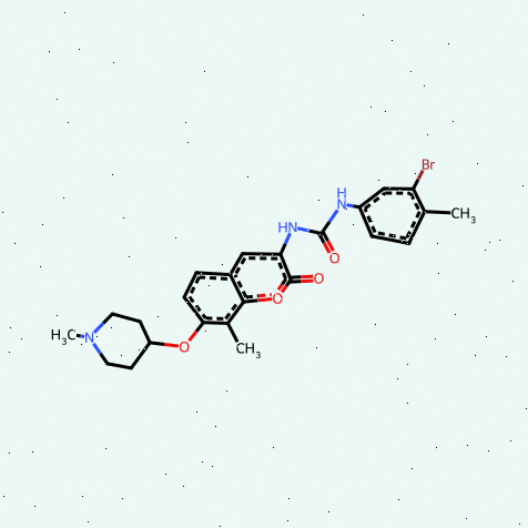 Cc1ccc(NC(=O)Nc2cc3ccc(OC4CCN(C)CC4)c(C)c3oc2=O)cc1Br